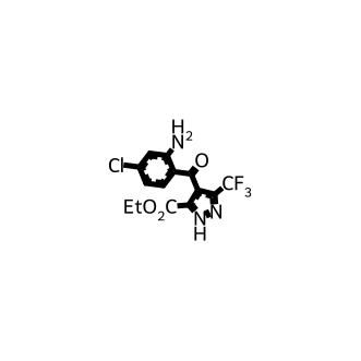 CCOC(=O)c1[nH]nc(C(F)(F)F)c1C(=O)c1ccc(Cl)cc1N